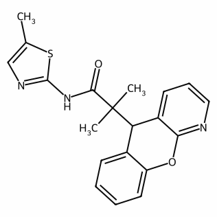 Cc1cnc(NC(=O)C(C)(C)C2c3ccccc3Oc3ncccc32)s1